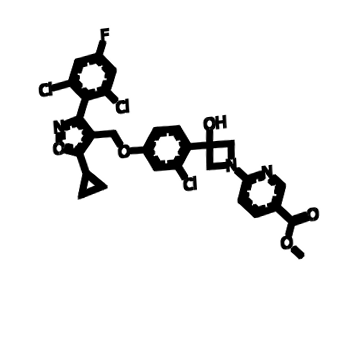 COC(=O)c1ccc(N2CC(O)(c3ccc(OCc4c(-c5c(Cl)cc(F)cc5Cl)noc4C4CC4)cc3Cl)C2)nc1